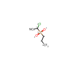 N#CC(Cl)S(=O)(=O)CCC(F)(F)F